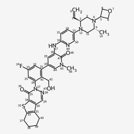 C=C[C@H]1CN(C2COC2)[C@H](C)CN1c1ccc(Nc2cc(-c3cc(F)cc(-n4ncc5c6c(sc5c4=O)CCCC6)c3CO)cn(C)c2=O)nc1